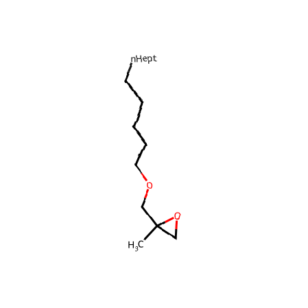 CCCCCCCCCCCCOCC1(C)CO1